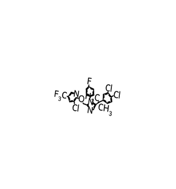 CC(C)(c1ccc(Cl)c(Cl)c1)c1cnc(COc2ncc(C(F)(F)F)cc2Cl)n1-c1ccc(F)cc1